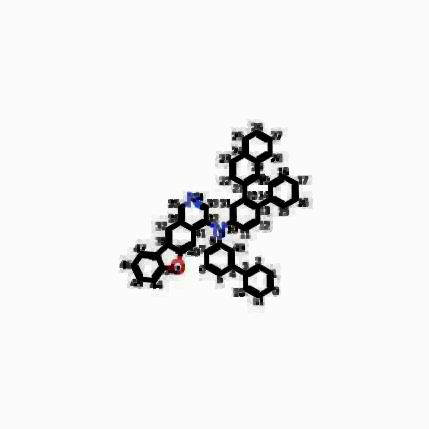 c1ccc(-c2cccc(N(c3ccc(-c4ccccc4)c(-c4ccc5ccccc5c4)c3)c3cncc4cc5c(cc34)oc3ccccc35)c2)cc1